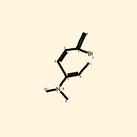 C=C(Br)/C=C\C(=C/C)N(C)C